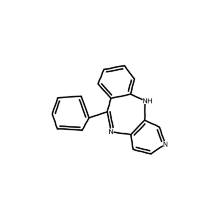 c1ccc(C2=Nc3ccncc3Nc3ccccc32)cc1